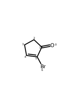 O=C1CCC=C1Br